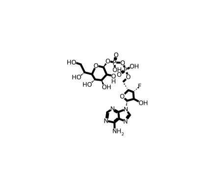 Nc1ncnc2c1ncn2[C@@H]1O[C@H](COP(=O)(O)OP(=O)(O)O[C@@H]2OC([C@H](O)CO)[C@@H](O)[C@H](O)C2O)[C@H](F)C1O